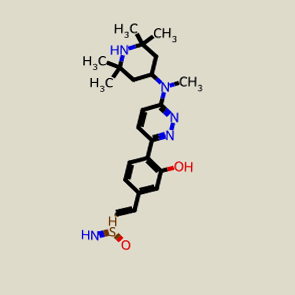 CN(c1ccc(-c2ccc(/C=C/[SH](=N)=O)cc2O)nn1)C1CC(C)(C)NC(C)(C)C1